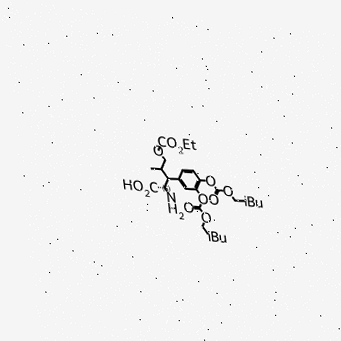 CCOC(=O)OCC(C)C(c1ccc(OC(=O)OCC(C)CC)c(OC(=O)OCC(C)CC)c1)[C@H](N)C(=O)O